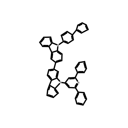 c1ccc(-c2ccc(-n3c4ccccc4c4cc(-c5ccc6c7ccccc7n(-c7cc(-c8ccccc8)nc(-c8ccccc8)c7)c6c5)ccc43)cc2)cc1